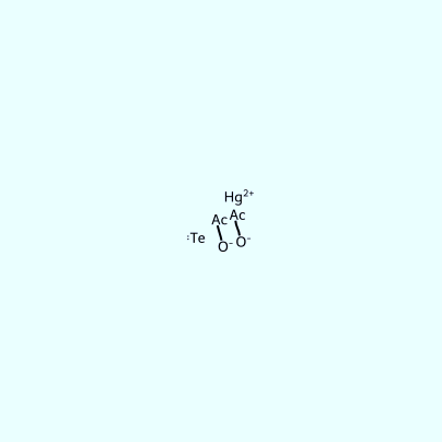 CC(=O)[O-].CC(=O)[O-].[Hg+2].[Te]